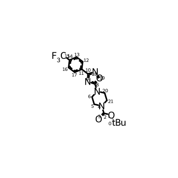 CC(C)(C)OC(=O)N1CCN(c2nc(-c3ccc(C(F)(F)F)cc3)no2)CC1